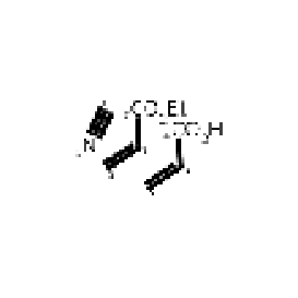 C#N.C=CC(=O)O.C=CC(=O)OCC